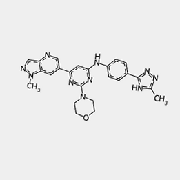 Cc1nnc(-c2ccc(Nc3cc(-c4cnc5cnn(C)c5c4)nc(N4CCOCC4)n3)cc2)[nH]1